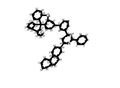 c1ccc(-c2nc(-c3cccc(-c4ccc5c(c4)Oc4ccccc4C54c5ccccc5-c5ccccc54)c3)cc(-c3ccc4c(ccc5ccccc54)c3)n2)cc1